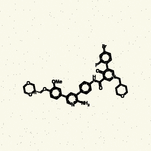 COc1cc(-c2cnc(N)c(-c3ccc(NC(=O)c4cn(CC5CCOCC5)cc(-c5ccc(Br)cc5F)c4=O)cc3)c2)ccc1OC[C@H]1COCCO1